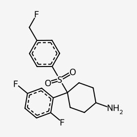 NC1CCC(c2cc(F)ccc2F)(S(=O)(=O)c2ccc(CF)cc2)CC1